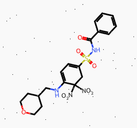 O=C(NS(=O)(=O)C1=CC=C(NCC2CCOCC2)C([N+](=O)[O-])([N+](=O)[O-])C1)c1ccccc1